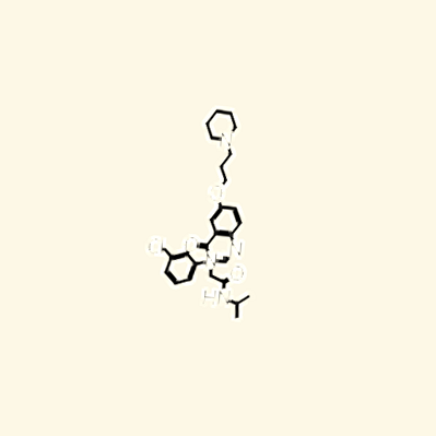 CC(C)NC(=O)C[N+]1(c2cccc(Cl)c2)C=Nc2ccc(OCCCN3CCCCC3)cc2C1=O